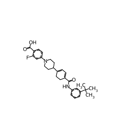 CC(C)(C)c1cccc(NC(=O)C2=CC=C(C3CCN(c4ccc(C(=O)O)c(F)c4)CC3)CC2)c1